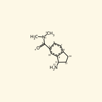 CN(C)C(=O)c1ccc2c(c1)C(N)CC2